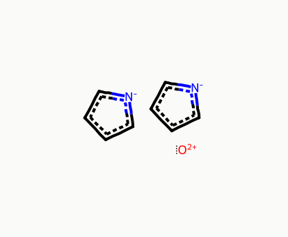 [O+2].c1cc[n-]c1.c1cc[n-]c1